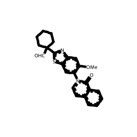 COc1cc2nc(C3(C=O)CCCCC3)sc2cc1-n1ccc2ccccc2c1=O